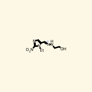 CCn1c(/C=N/NCCO)cnc1[N+](=O)[O-]